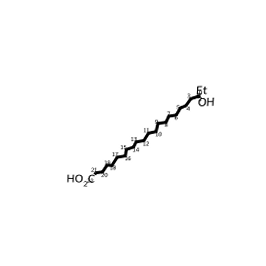 CCC(O)CCCCCCCCCCCCCCCCCCCC(=O)O